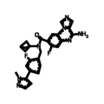 Cn1nccc1-c1ccc(CN(C(=O)c2cc3c(cc2F)nc(N)c2cncn23)C23CC(C2)C3)c(F)c1